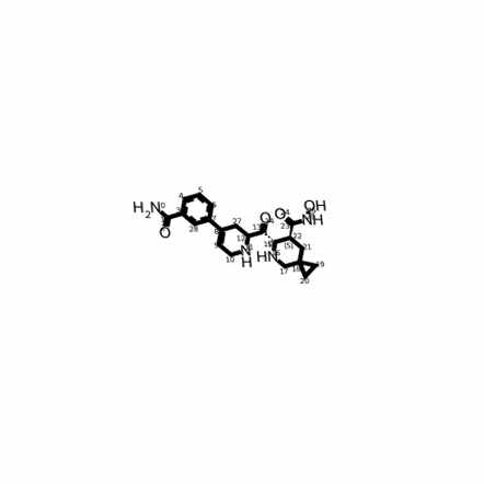 NC(=O)c1cccc(C2=CCNC(C(=O)[C@H]3NCC4(CC4)C[C@@H]3C(=O)NO)C2)c1